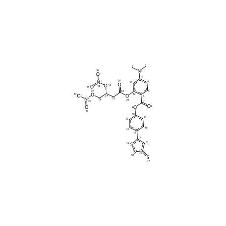 CN(C)c1ccc(C(=O)Oc2ccc(-c3cc(=S)ss3)cc2)c(OC(=O)CC(CO[N+](=O)[O-])O[N+](=O)[O-])c1